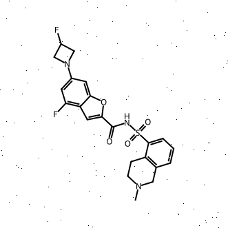 CN1CCc2c(cccc2S(=O)(=O)NC(=O)c2cc3c(F)cc(N4CC(F)C4)cc3o2)C1